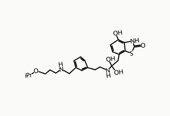 CC(C)OCCCNCc1cccc(CCNC(O)(O)Cc2ccc(O)c3[nH]c(=O)sc23)c1